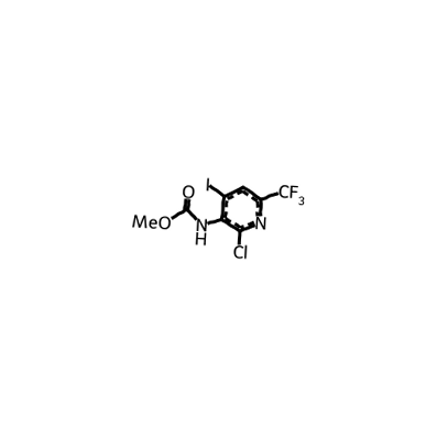 COC(=O)Nc1c(I)cc(C(F)(F)F)nc1Cl